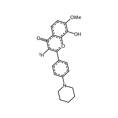 [2H]c1c(-c2ccc(N3CCCCC3)cc2)oc2c(O)c(OC)ccc2c1=O